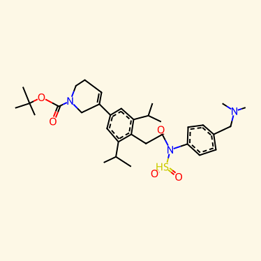 CC(C)c1cc(C2=CCCN(C(=O)OC(C)(C)C)C2)cc(C(C)C)c1CC(=O)N(c1ccc(CN(C)C)cc1)[SH](=O)=O